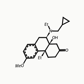 CCN(CC1CC1)[C@@H]1Cc2ccc(OC)cc2[C@@]2(CC)CCC(=O)C[C@@]12O